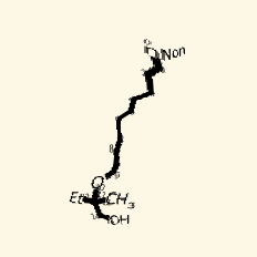 CCCCCCCCCCCCCCCCCCOC(C)(CC)CO